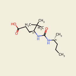 CCC[C@@H](C)NC(=O)N[C@@H](CCC(=O)O)C(C)(C)C